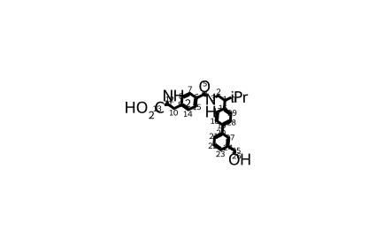 CC(C)C(CNC(=O)c1ccc(CC(N)C(=O)O)cc1)c1ccc(-c2cccc(CO)c2)cc1